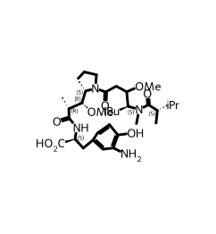 CCC(C)[C@@H](C(CC(=O)N1CCC[C@H]1[C@H](OC)[C@@H](C)C(=O)N[C@@H](Cc1ccc(O)c(N)c1)C(=O)O)OC)N(C)C(=O)[C@@H](C)C(C)C